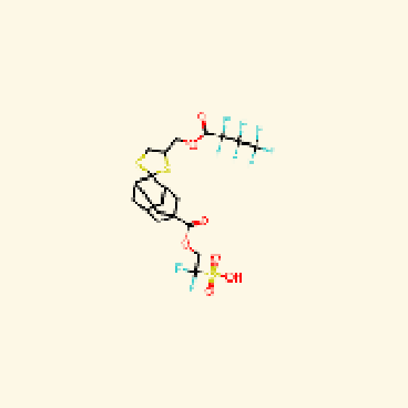 O=C(OCC(F)(F)S(=O)(=O)O)C12CC3CC(C1)C1(SCC(COC(=O)C(F)(F)C(F)(F)C(F)(F)F)S1)C(C3)C2